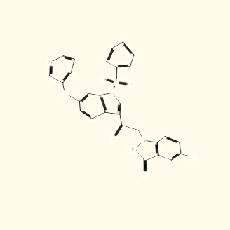 O=C(Cn1[nH]c(=O)c2cc(Cl)ccc21)c1cn(S(=O)(=O)c2ccccc2)c2cc(Oc3cccnc3)ccc12